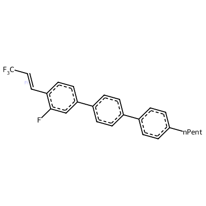 CCCCCc1ccc(-c2ccc(-c3ccc(/C=C/C(F)(F)F)c(F)c3)cc2)cc1